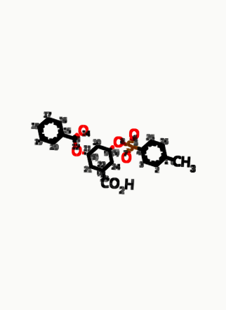 Cc1ccc(S(=O)(=O)O[C@@H]2C[C@@H](OC(=O)c3ccccc3)C[C@H](C(=O)O)C2)cc1